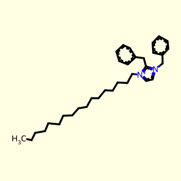 CCCCCCCCCCCCCCCCC[n+]1ccn(Cc2ccccc2)c1Cc1ccccc1